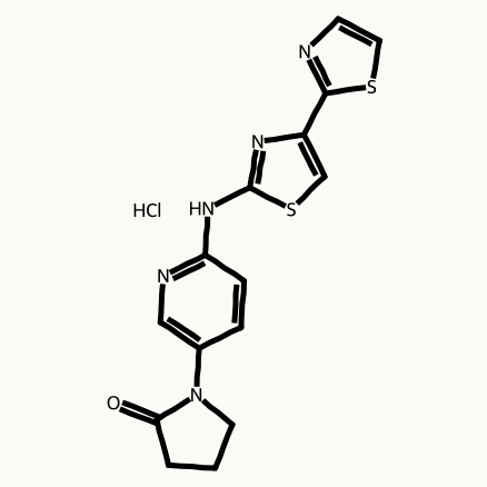 Cl.O=C1CCCN1c1ccc(Nc2nc(-c3nccs3)cs2)nc1